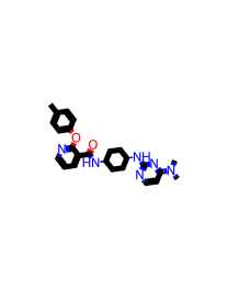 Cc1ccc(Oc2ncccc2C(=O)N[C@H]2CC[C@@H](Nc3nccc(N(C)C)n3)CC2)cc1